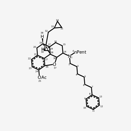 CCCCCN(CCCCCCc1ccccc1)C1CC[C@@]2(O)[C@H]3Cc4ccc(OC(C)=O)c5c4[C@@]2(CCN3CC2CC2)C1O5